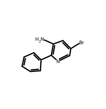 Nc1cc(Br)cnc1-c1ccccc1